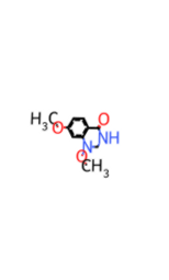 COc1ccc2c(c1)N(OC)CNC2=O